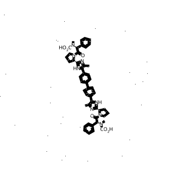 Cc1nc([C@@H]2CCCN2C(=O)[C@@H](c2ccccc2)N(C)C(=O)O)[nH]c1-c1ccc(-c2ccc(-c3[nH]c([C@@H]4CCCN4C(=O)[C@@H](c4ccccc4)N(C)C(=O)O)nc3C)cc2)cc1